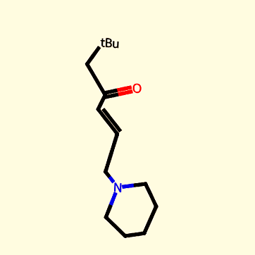 CC(C)(C)CC(=O)/C=C/CN1CCCCC1